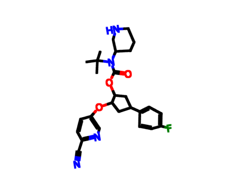 CC(C)(C)N(C(=O)OC1CC(c2ccc(F)cc2)CC1Oc1ccc(C#N)nc1)C1CCCNC1